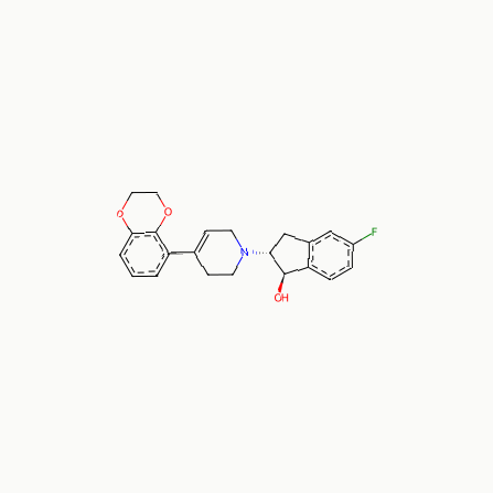 O[C@@H]1c2ccc(F)cc2C[C@H]1N1CC=C(c2cccc3c2OCCO3)CC1